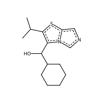 CC(C)c1sc2cncn2c1C(O)C1CCCCC1